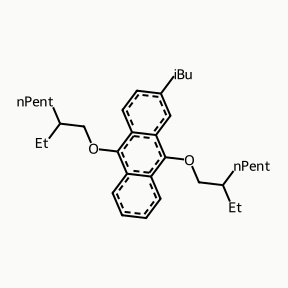 CCCCCC(CC)COc1c2ccccc2c(OCC(CC)CCCCC)c2cc(C(C)CC)ccc12